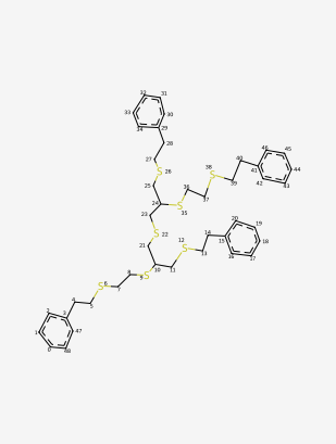 c1ccc(CCSCCSC(CSCCc2ccccc2)CSCC(CSCCc2ccccc2)SCCSCCc2ccccc2)cc1